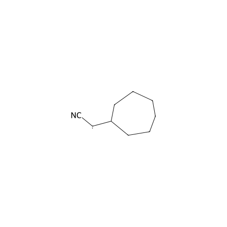 N#C[CH]C1CCCCCC1